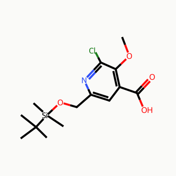 COc1c(C(=O)O)cc(CO[Si](C)(C)C(C)(C)C)nc1Cl